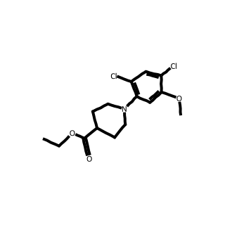 CCOC(=O)C1CCN(c2cc(OC)c(Cl)cc2Cl)CC1